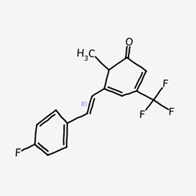 CC1C(=O)C=C(C(F)(F)F)C=C1/C=C/c1ccc(F)cc1